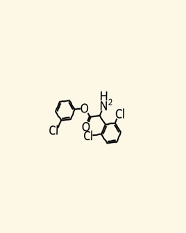 NC(C(=O)Oc1cccc(Cl)c1)c1c(Cl)cccc1Cl